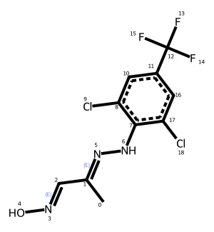 CC(/C=N/O)=N\Nc1c(Cl)cc(C(F)(F)F)cc1Cl